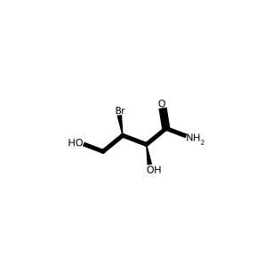 NC(=O)[C@@H](O)[C@H](Br)CO